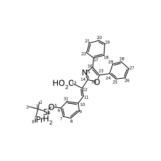 CC(C)C(C)(C)[SiH2]Oc1cccc(C=C(C(=O)O)c2nc(-c3ccccc3)c(-c3ccccc3)o2)c1